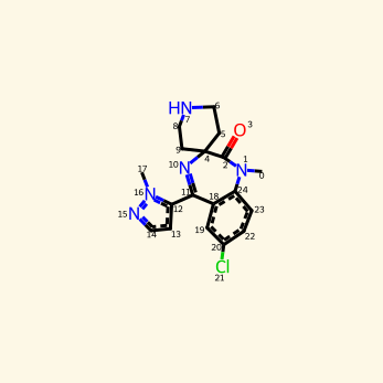 CN1C(=O)C2(CCNCC2)N=C(c2ccnn2C)c2cc(Cl)ccc21